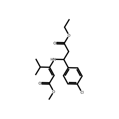 CCOC(=O)CC(NC(=CC(=O)OC)C(C)C)c1ccc(Cl)cc1